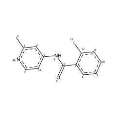 Cc1cc(NC(=O)c2ccccc2I)ccn1